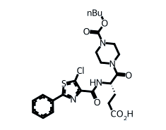 CCCCOC(=O)N1CCN(C(=O)[C@H](CCC(=O)O)NC(=O)c2nc(-c3ccccc3)sc2Cl)CC1